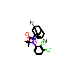 COC(=O)C12CC3C[C@H](C1)C(N1C(=O)C(C)(C)N1c1cccc(Cl)c1Cl)[C@@H](C3)C2